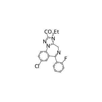 CCOC(=O)c1nc2n(n1)-c1ccc(Cl)cc1C(c1ccccc1F)=NC2